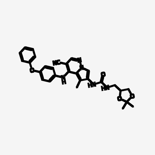 Cc1c(NC(=O)NCC2COC(C)(C)O2)cn2ncc(C#N)c(Nc3ccc(Oc4ccccc4)cc3)c12